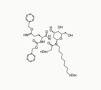 CCCCCCCCCCCCCCCCCCN(C(=O)CCCCCCCCCCC)[C@@H]1O[C@H](CO)[C@@H](O)[C@H](O)[C@H]1NC(=O)[C@H](CCC(=N)OCc1ccccc1)NC(=O)OCc1ccccc1